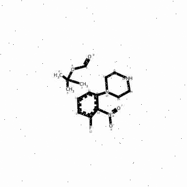 CC(C)(C)OC=O.O=[N+]([O-])c1c(F)cccc1N1CCNCC1